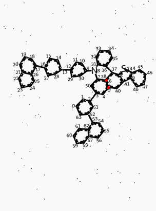 c1cc(-c2cccc(N(c3ccc(-c4ccc(-c5cccc6ccccc56)cc4)cc3)c3ccccc3-c3cccc4c3sc3ccccc34)c2)cc(-c2cccc3ccccc23)c1